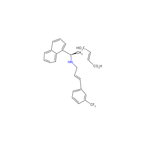 C[C@@H](NC/C=C/c1cccc(C(F)(F)F)c1)c1cccc2ccccc12.O=C(O)/C=C/C(=O)O